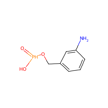 Nc1cccc(CO[PH](=O)O)c1